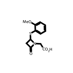 COc1ccccc1SC1CC(=O)N1CC(=O)O